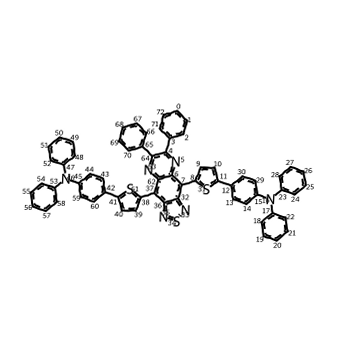 c1ccc(-c2nc3c(-c4ccc(-c5ccc(N(c6ccccc6)c6ccccc6)cc5)s4)c4nsnc4c(-c4ccc(-c5ccc(N(c6ccccc6)c6ccccc6)cc5)s4)c3nc2-c2ccccc2)cc1